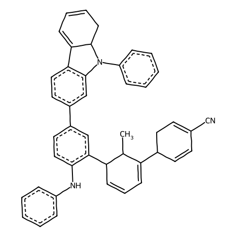 CC1C(C2C=CC(C#N)=CC2)=CC=CC1c1cc(-c2ccc3c(c2)N(c2ccccc2)C2CC=CC=C32)ccc1Nc1ccccc1